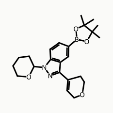 CC1(C)OB(c2ccc3c(c2)c(C2=CCOCC2)nn3C2CCCCO2)OC1(C)C